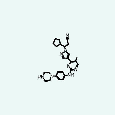 Cc1cnc(Nc2ccc(N3CCNCC3)cc2)nc1-c1cnn(C(CC#N)C2CCCC2)c1